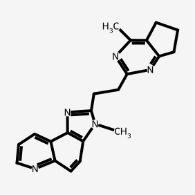 Cc1nc(CCc2nc3c4cccnc4ccc3n2C)nc2c1CCC2